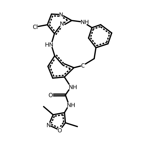 Cc1noc(C)c1NC(=O)Nc1ccc2cc1CCc1cccc(c1)Nc1ncc(Cl)c(n1)N2